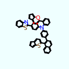 c1cc2ccc(-c3ccccc3N(c3ccc(-c4nc5ccccc5s4)cc3)c3ccc(-c4ccc5ccccc5c4-c4ccc5cccc-5s4)cc3)oc-2c1